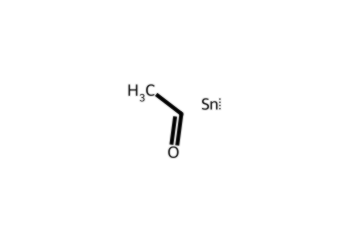 CC=O.[Sn]